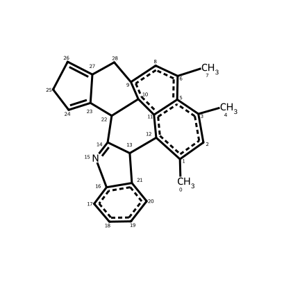 Cc1cc(C)c2c(C)cc3c4c2c1C1C(=Nc2ccccc21)C4C1=CCC=C1C3